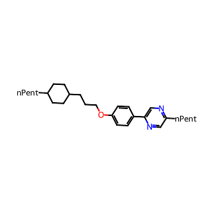 CCCCCc1cnc(-c2ccc(OCCCC3CCC(CCCCC)CC3)cc2)cn1